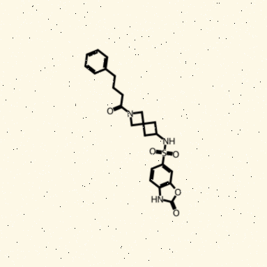 O=C(CCCc1ccccc1)N1CC2(CC(NS(=O)(=O)c3ccc4[nH]c(=O)oc4c3)C2)C1